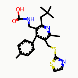 Cc1ccc(-c2c(CSc3nccs3)c(C)nc(CC(C)(C)C)c2CNC(=O)O)cc1